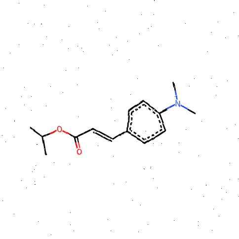 CC(C)OC(=O)C=Cc1ccc(N(C)C)cc1